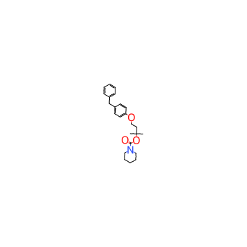 CC(C)(CCOc1ccc(Cc2ccccc2)cc1)OC(=O)N1CCCCC1